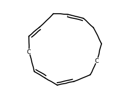 [C]1=CCCCCC=CC=CCC=CC1